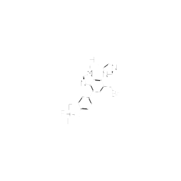 Cn1cnc2c(-c3ccc(OC(F)(F)F)cc3)cc(CBr)c(-n3ccnc3)c21